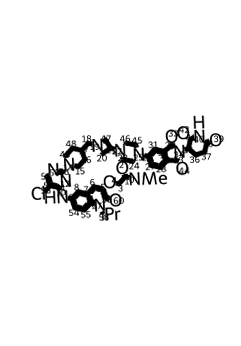 CNC(=O)COc1cc2cc(Nc3nc(N4CCC(CN5CC(N6CCN(c7ccc8c(c7)C(=O)N(C7CCC(=O)NC7=O)C8=O)CC6)C5)CC4)ncc3Cl)ccc2n(C(C)C)c1=O